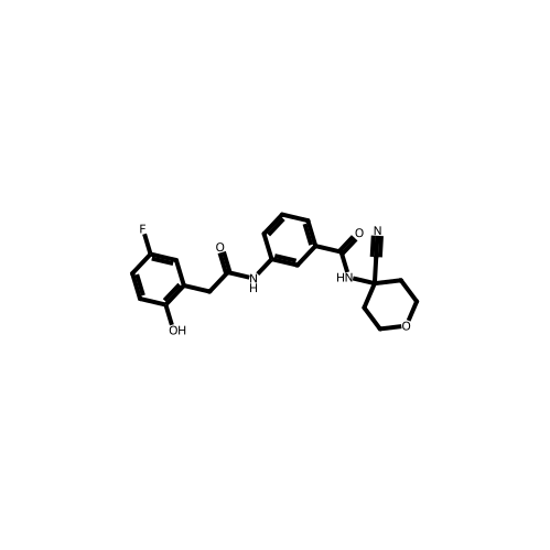 N#CC1(NC(=O)c2cccc(NC(=O)Cc3cc(F)ccc3O)c2)CCOCC1